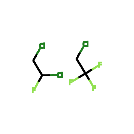 FC(Cl)CCl.FC(F)(F)CCl